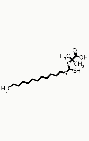 CCCCCCCCCCCCSC(S)SC(C)(C)C(=O)O